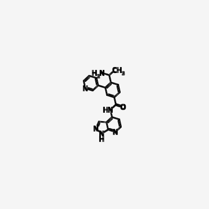 CC(N)c1ccc(C(=O)Nc2ccnc3[nH]ncc23)cc1-c1cccnc1